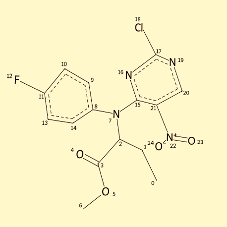 CCC(C(=O)OC)N(c1ccc(F)cc1)c1nc(Cl)ncc1[N+](=O)[O-]